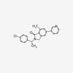 Cc1cc(-c2cccnc2)cc2c1C(=O)N([C@@H](C)c1ccc(Cl)cc1)C2